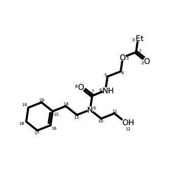 CCC(=O)OCCNC(=O)N(CCO)CCC1=CCCCC1